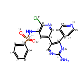 Nc1ncc(-c2cnc(Cl)c(NS(=O)(=O)c3ccccc3)c2)c(-c2ccncc2)n1